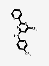 FC(F)(F)c1ccc(Nc2cc(C(F)(F)F)nc(-c3ccccn3)n2)cc1